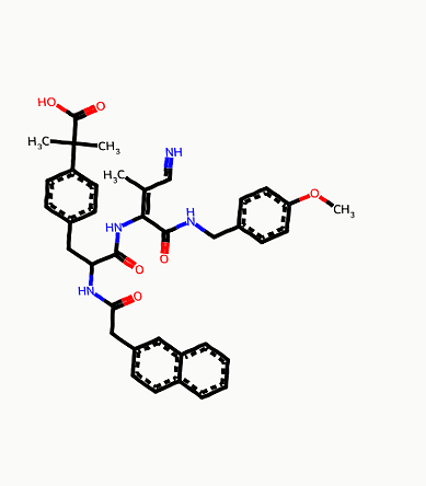 COc1ccc(CNC(=O)/C(NC(=O)C(Cc2ccc(C(C)(C)C(=O)O)cc2)NC(=O)Cc2ccc3ccccc3c2)=C(/C)C=N)cc1